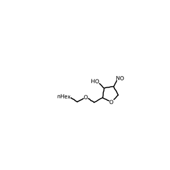 CCCCCCCOCC1OCC(N=O)C1O